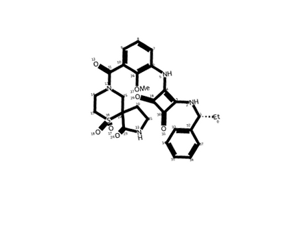 CC[C@@H](Nc1c(Nc2cccc(C(=O)N3CCS(=O)(=O)C4(CCNC4=O)C3)c2OC)c(=O)c1=O)c1ccccc1